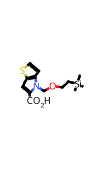 C[Si](C)(C)CCOCn1c(C(=O)O)cc2sccc21